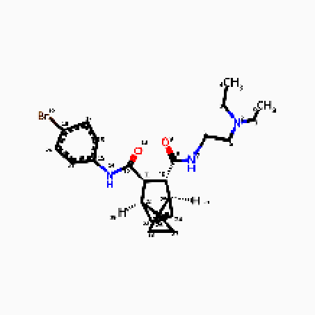 CCN(CC)CCNC(=O)[C@H]1[C@H](C(=O)Nc2ccc(Br)cc2)[C@@H]2C=C[C@H]1C21CC1